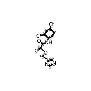 O=C(Nc1ccc(Cl)cc1Cl)C(=O)OSn1cncn1